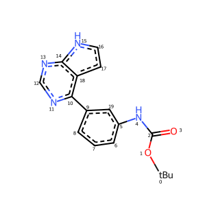 CC(C)(C)OC(=O)Nc1cccc(-c2ncnc3[nH]ccc23)c1